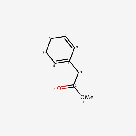 COC(=O)CC1=CCCC=C1